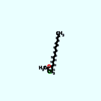 CCCCCCCCCCCCCCC(CCl)OC(C)C